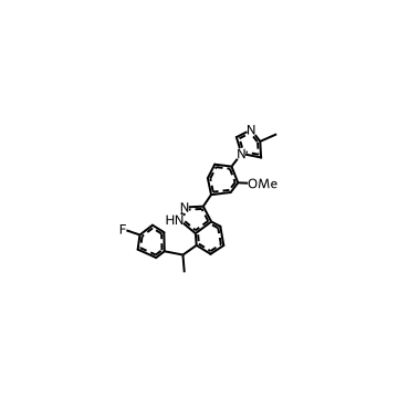 COc1cc(-c2n[nH]c3c(C(C)c4ccc(F)cc4)cccc23)ccc1-n1cnc(C)c1